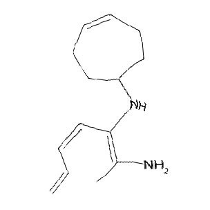 C=C/C=C\C(NC1CCC=CCC1)=C(/C)N